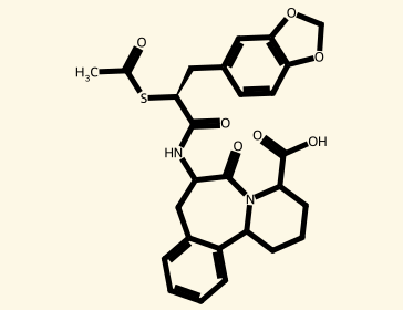 CC(=O)S[C@@H](Cc1ccc2c(c1)OCO2)C(=O)NC1Cc2ccccc2C2CCCC(C(=O)O)N2C1=O